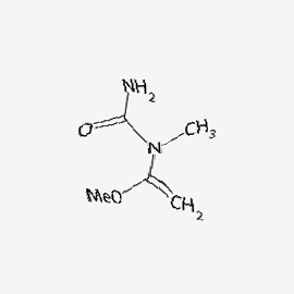 C=C(OC)N(C)C(N)=O